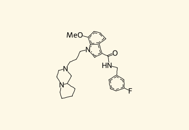 COc1cccc2c(C(=O)NCc3cccc(F)c3)cn(CCCN3CCN4CCCCC4C3)c12